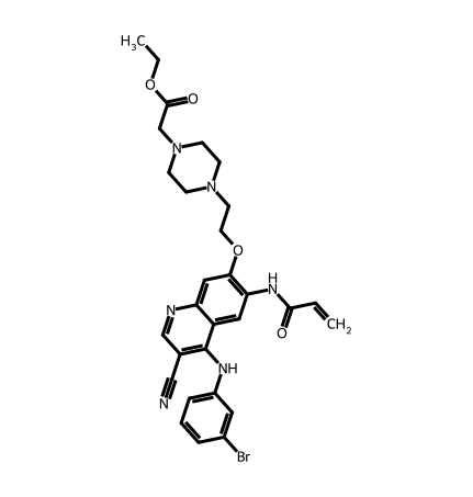 C=CC(=O)Nc1cc2c(Nc3cccc(Br)c3)c(C#N)cnc2cc1OCCN1CCN(CC(=O)OCC)CC1